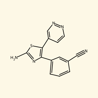 N#Cc1cccc(-c2nc(N)sc2-c2ccnnc2)c1